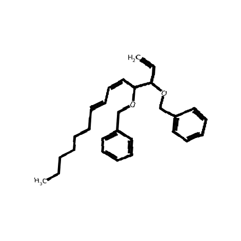 C=CC(OCc1ccccc1)C(/C=C\C=C\CCCCCC)OCc1ccccc1